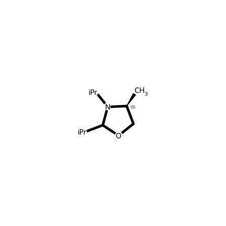 CC(C)C1OC[C@H](C)N1C(C)C